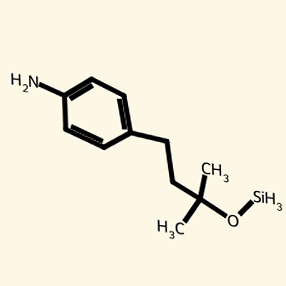 CC(C)(CCc1ccc(N)cc1)O[SiH3]